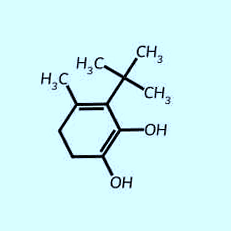 CC1=C(C(C)(C)C)C(O)=C(O)CC1